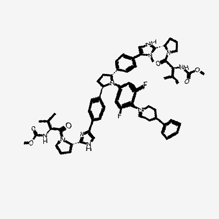 COC(=O)N[C@H](C(=O)N1CCC[C@H]1c1nc(-c2ccc([C@H]3CC[C@H](c4ccc(C5=CNC([C@@H]6CCCN6C(=O)[C@@H](NC(=O)OC)C(C)C)N5C)cc4)N3c3cc(F)c(N4CCC(c5ccccc5)CC4)c(F)c3)cc2)c[nH]1)C(C)C